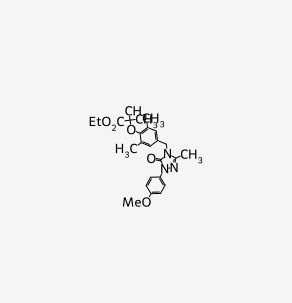 CCOC(=O)C(C)(C)Oc1c(C)cc(Cn2c(C)nn(-c3ccc(OC)cc3)c2=O)cc1C